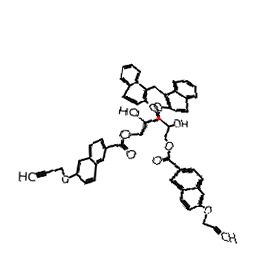 C#CCOc1ccc2cc(C(=O)OCC(O)COc3ccc4ccccc4c3Cc3c(OCC(O)COC(=O)c4ccc5cc(OCC#C)ccc5c4)ccc4ccccc34)ccc2c1